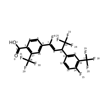 O=C(O)c1ccc(C(F)=CC(c2ccc(F)c(C(F)(F)F)c2)C(F)(F)F)cc1C(F)(F)F